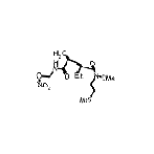 C=C(/C=C(\CC)C(=O)N(CCSC)OC)C(=O)NCO[N+](=O)[O-]